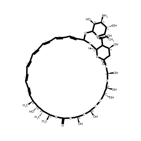 C[C@@H]1[C@H](O)[C@@H](C)/C=C/C=C/C=C/C=C/C=C/C=C/C=C/C(OC2O[C@H](C)[C@@H](O)[C@H](N)[C@@H]2O)C[C@@H]2O[C@](O)(C[C@@H](O)C[C@@H](O)[C@H](O)CC[C@@H](O)C[C@@H](O)CC(=O)O[C@H]1C)C[C@H](O)C2C(=O)O